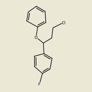 Fc1ccc(C(CCCl)Oc2ccccc2)cc1